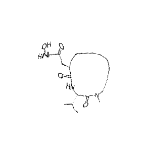 CC(C)[C@@H]1NC(=O)[C@@H](CC(=O)NO)CCCCCCCCN(C)C1=O